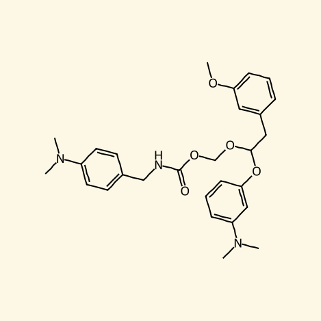 COc1cccc(CC(OCOC(=O)NCc2ccc(N(C)C)cc2)Oc2cccc(N(C)C)c2)c1